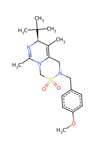 COc1ccc(CN2CC3=C(C)[C@H](C(C)(C)C)N=C(C)N3CS2(=O)=O)cc1